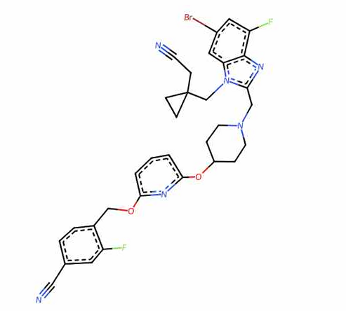 N#CCC1(Cn2c(CN3CCC(Oc4cccc(OCc5ccc(C#N)cc5F)n4)CC3)nc3c(F)cc(Br)cc32)CC1